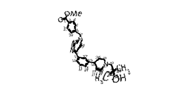 COC(=O)c1ccc(Cn2cc(-c3cccc(C4CCN(CC(C)(C)O)CC4)c3)nn2)cc1